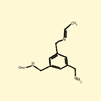 CC=NCc1cc(CN)cc(CNC=O)c1